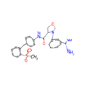 CS(=O)(=O)c1ccccc1-c1ccc(NC(=O)C2COCN2c2cccc(C(=N)N)c2)cc1